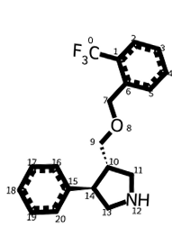 FC(F)(F)c1ccccc1COC[C@@H]1CNC[C@H]1c1ccccc1